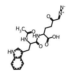 CC(=O)NC(Cc1c[nH]c2ccccc12)C(=O)NC(CCC(=O)C=[N+]=[N-])C(=O)O